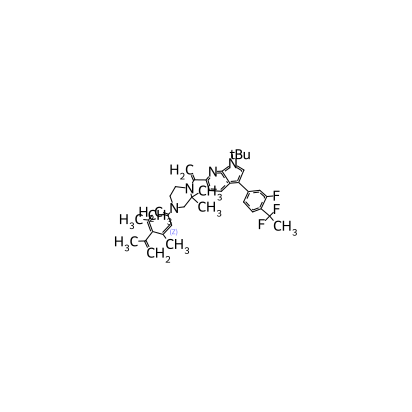 C=C(C)C(=C(C)C)/C(C)=C\C(=C)N1CCN(C(=C)c2ccc3c(-c4ccc(C(C)(F)F)c(F)c4)cn(C(C)(C)C)c3n2)C(C)(C)C1